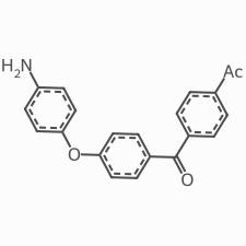 CC(=O)c1ccc(C(=O)c2ccc(Oc3ccc(N)cc3)cc2)cc1